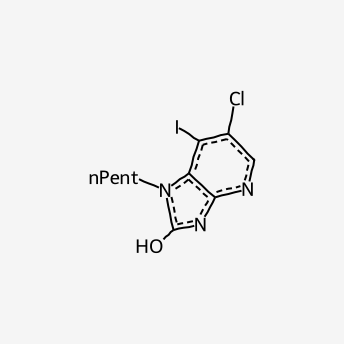 CCCCCn1c(O)nc2ncc(Cl)c(I)c21